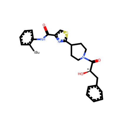 CC(C)(C)c1ccccc1NC(=O)c1csc(C2CCN(C(=O)[C@H](O)Cc3ccccc3)CC2)n1